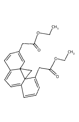 CCOC(=O)CC1=CC23CC24C(=CC=C3C=C1)C=CC=C4CC(=O)OCC